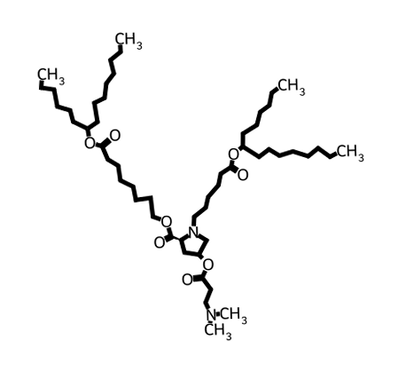 CCCCCCCCC(CCCCCC)OC(=O)CCCCCCCOC(=O)[C@@H]1CC(OC(=O)CCN(C)C)CN1CCCCCC(=O)OC(CCCCCC)CCCCCCCC